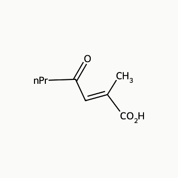 CCCC(=O)C=C(C)C(=O)O